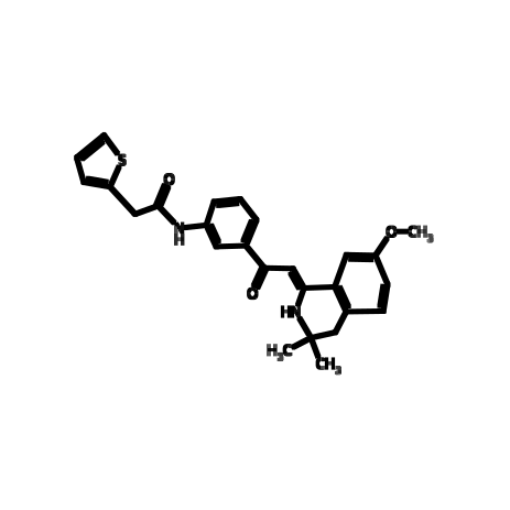 COc1ccc2c(c1)C(=CC(=O)c1cccc(NC(=O)Cc3cccs3)c1)NC(C)(C)C2